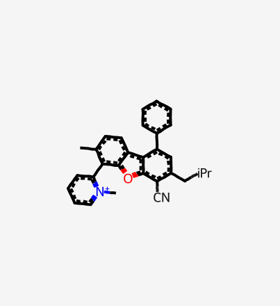 Cc1ccc2c(oc3c(C#N)c(CC(C)C)cc(-c4ccccc4)c32)c1-c1cccc[n+]1C